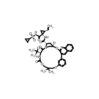 C=C[C@@H]1C[C@]1(NC(=O)[C@@H]1C[C@@H]2CN1C(=O)[C@H](C(C)(C)C)NC(=O)OCC(C)(C)COc1cccc(c1)-c1cc3ccccc3nc1O2)C(=O)NS(=O)(=O)C1CC1